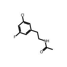 CC(=O)NCCc1cc(F)cc(Cl)c1